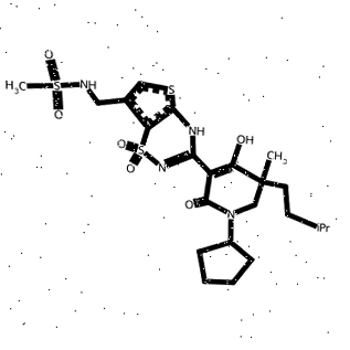 CC(C)CCC1(C)CN(C2CCCC2)C(=O)C(C2=NS(=O)(=O)c3c(CNS(C)(=O)=O)csc3N2)=C1O